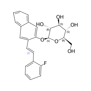 OC[C@H]1O[C@@H](Oc2cc3ccccc3cc2/C=C/c2ccccc2F)[C@H](O)[C@@H](O)[C@@H]1O